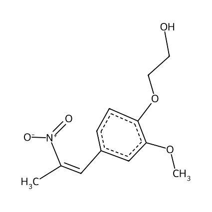 COc1cc(C=C(C)[N+](=O)[O-])ccc1OCCO